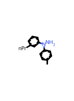 CCCc1cccc(N(N)c2ccc(C)cc2)c1